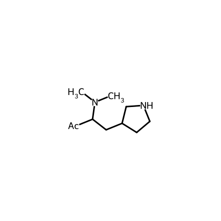 CC(=O)C(CC1CCNC1)N(C)C